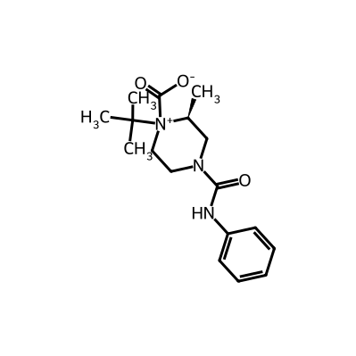 C[C@H]1CN(C(=O)Nc2ccccc2)CC[N+]1(C(=O)[O-])C(C)(C)C